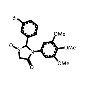 COc1cc(N2C(=O)C[S+]([O-])C2c2cccc(Br)c2)cc(OC)c1OC